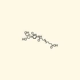 O=C(O)CCCSSCCC(=O)Nc1ccn(C2CC(O)C(CO)O2)c(=O)n1